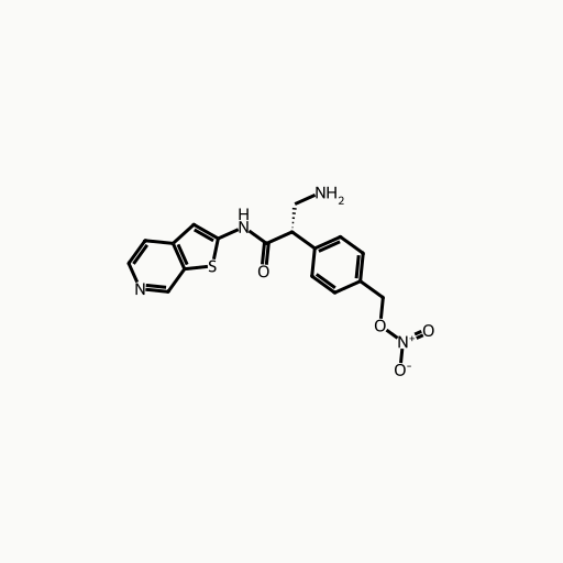 NC[C@@H](C(=O)Nc1cc2ccncc2s1)c1ccc(CO[N+](=O)[O-])cc1